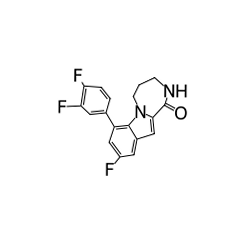 O=C1NCCCn2c1cc1cc(F)cc(-c3ccc(F)c(F)c3)c12